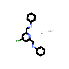 Clc1cc(C=Nc2ccccc2)nc(C=Nc2ccccc2)c1.[Cl-].[Cl-].[Fe+2]